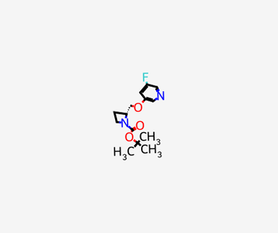 CC(C)(C)OC(=O)N1CC[C@@H]1COc1cncc(F)c1